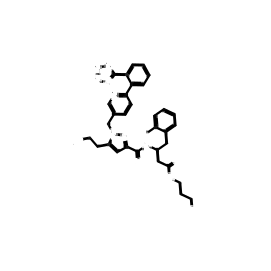 CCCCOC(=O)CC(Cc1ccccc1Cl)NC(=O)c1cc(CCC)n(Cc2ccc(-c3ccccc3-c3nnn[nH]3)nc2)n1